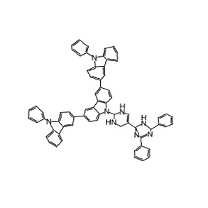 C1=C(C2=NC(c3ccccc3)=NC(c3ccccc3)N2)CNC(n2c3ccc(-c4ccc5c(c4)c4ccccc4n5-c4ccccc4)cc3c3cc(-c4ccc5c(c4)c4ccccc4n5-c4ccccc4)ccc32)N1